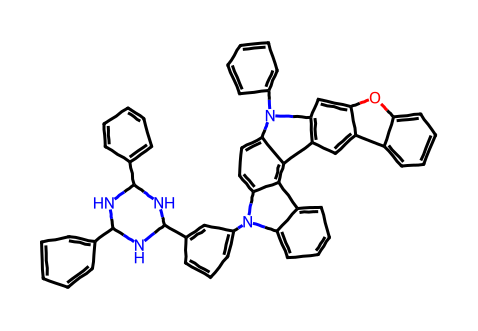 c1ccc(C2NC(c3ccccc3)NC(c3cccc(-n4c5ccccc5c5c6c7cc8c(cc7n(-c7ccccc7)c6ccc54)oc4ccccc48)c3)N2)cc1